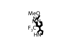 COCc1nnc2c(C(F)(F)F)c(C3CCNC3)ccn12